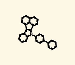 c1ccc(-c2ccc(-n3c4c(c5ccccc53)-c3cccc5cccc-4c35)cc2)cc1